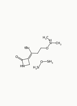 C[SiH](C)OCC/C(=C1\CNC1=O)C(C)(C)C.[SiH3]O[SiH3]